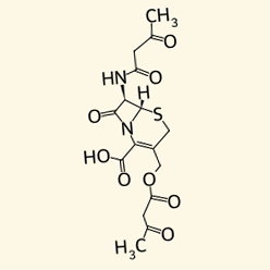 CC(=O)CC(=O)N[C@@H]1C(=O)N2C(C(=O)O)=C(COC(=O)CC(C)=O)CS[C@@H]12